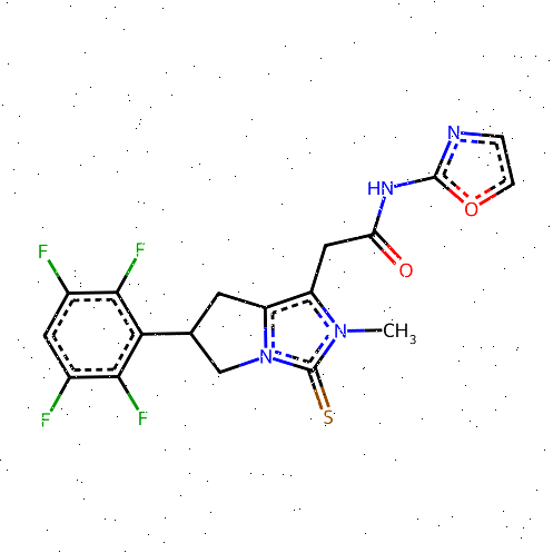 Cn1c(CC(=O)Nc2ncco2)c2n(c1=S)CC(c1c(F)c(F)cc(F)c1F)C2